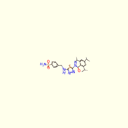 CC(C)c1cc(C(C)C)c(C(=O)Nc2nnc(NCc3ccc(S(N)(=O)=O)cc3)s2)c(C(C)C)c1